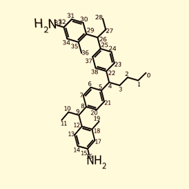 CCCCC(c1ccc(C(CC)c2ccc(N)cc2C)cc1)c1ccc(C(CC)c2ccc(N)cc2C)cc1